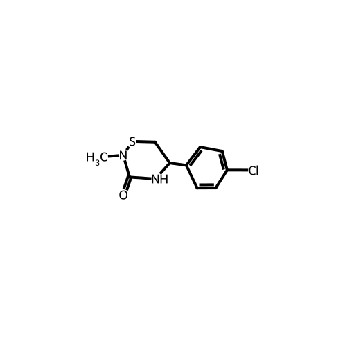 CN1SCC(c2ccc(Cl)cc2)NC1=O